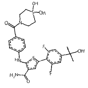 CC(C)(O)c1cc(F)c(-c2cc(C(N)=O)c(Nc3ccc(C(=O)N4CCS(O)(O)CC4)cc3)s2)c(F)c1